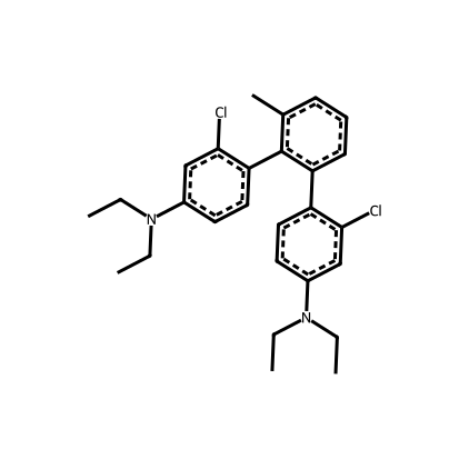 CCN(CC)c1ccc(-c2cccc(C)c2-c2ccc(N(CC)CC)cc2Cl)c(Cl)c1